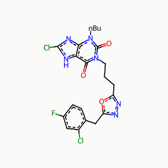 CCCCn1c(=O)n(CCCc2nnc(Cc3ccc(F)cc3Cl)o2)c(=O)c2[nH]c(Cl)nc21